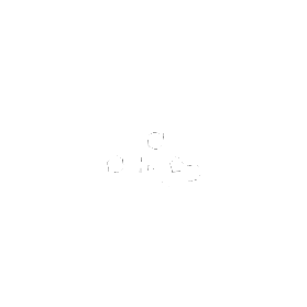 Cc1cc(C)cc(NC(=O)N2CC3(CC3)c3c([nH]c4ccccc34)C2c2ccc(F)cc2F)c1